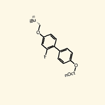 CCCCCCCCOc1ccc(-c2ccc(OC[C@@H](C)CC)cc2F)cc1